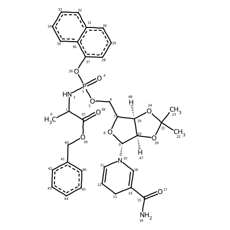 CC(NP(=O)(OCC1O[C@@H](N2C=CCC(C(N)=O)=C2)[C@@H]2OC(C)(C)O[C@H]12)Oc1cccc2ccccc12)C(=O)OCc1ccccc1